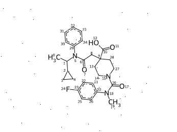 CC(C1CC1)N(C(=O)CC1(C(=O)O)CCN(C(=O)N(C)c2ccc(F)cc2)CC1)c1ccccc1